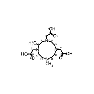 CC1CN(CC(=O)O)CCN(CC(=O)O)CCN(C)CCN1CC(=O)O